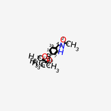 CC(=O)NCc1ccc(B2OC(C)(C)C(C)(C)O2)cc1